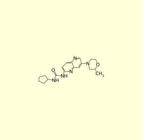 CC1CN(c2cnc3ccc(NC(=O)NC4CCCC4)nc3c2)CCO1